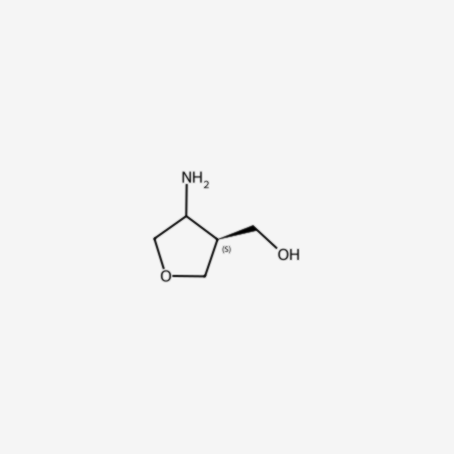 NC1COC[C@@H]1CO